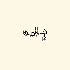 Cn1cc(-c2ccncc2/C=C/C(=O)Nc2ccc(Oc3ccncc3)cc2)cn1